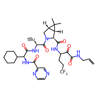 C=CCNC(=O)C(=O)C(CCC(F)(F)F)NC(=O)[C@@H]1[C@@H]2[C@H](CN1C(=O)[C@@H](NC(=O)[C@@H](NC(=O)c1cnccn1)C1CCCCC1)C(C)(C)C)C2(C)C